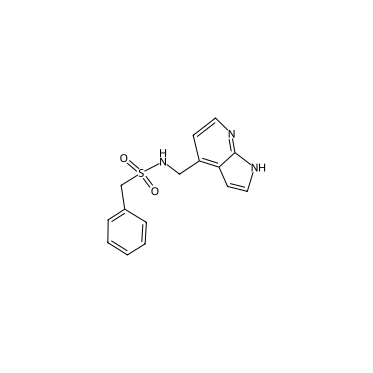 O=S(=O)(Cc1ccccc1)NCc1ccnc2[nH]ccc12